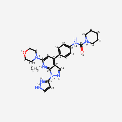 C[C@@H]1COCCN1c1cc(-c2ccc(NC(=O)N3CCCCC3)cc2)c2cnn(-c3cc[nH]n3)c2n1